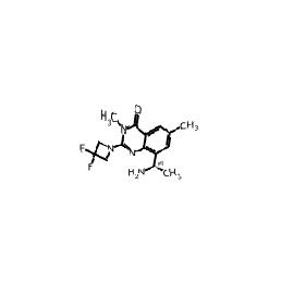 Cc1cc([C@@H](C)N)c2nc(N3CC(F)(F)C3)n(C)c(=O)c2c1